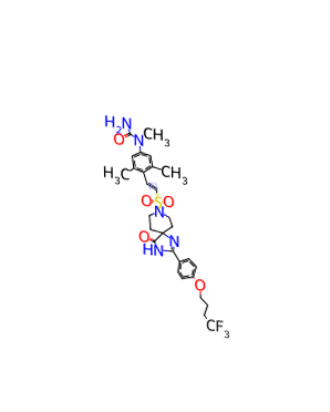 Cc1cc(N(C)C(N)=O)cc(C)c1/C=C/S(=O)(=O)N1CCC2(CC1)N=C(c1ccc(OCCCC(F)(F)F)cc1)NC2=O